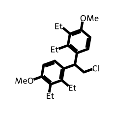 CCc1c(OC)ccc(C(CCl)c2ccc(OC)c(CC)c2CC)c1CC